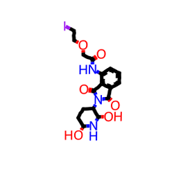 O=C(COCCI)Nc1cccc2c1C(=O)N(C1CCC(O)NC1O)C2=O